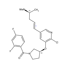 CN[C@@H](C)C/C=C/c1cnc(Cl)c(O[C@H]2CCN(C(=O)c3ccc(F)cc3F)C2)c1